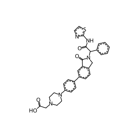 O=C(O)CN1CCN(c2ccc(-c3ccc4c(c3)C(=O)N(C(C(=O)Nc3nccs3)c3ccccc3)C4)cc2)CC1